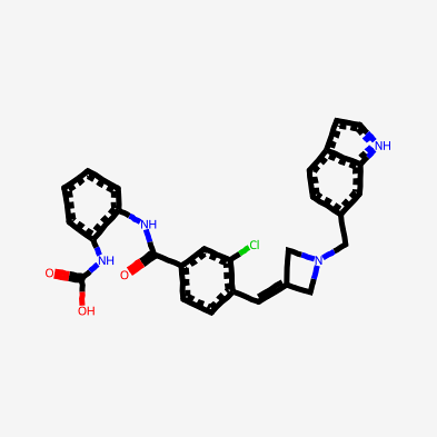 O=C(O)Nc1ccccc1NC(=O)c1ccc(C=C2CN(Cc3ccc4cc[nH]c4c3)C2)c(Cl)c1